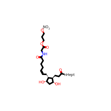 CCCCCCCC(=O)CC[C@@H]1[C@@H](C/C=C\CCCC(=O)NCC(=O)OCCCO[N+](=O)[O-])[C@@H](O)C[C@H]1O